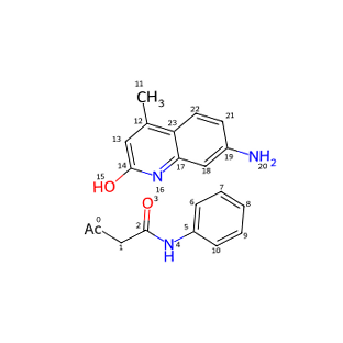 CC(=O)CC(=O)Nc1ccccc1.Cc1cc(O)nc2cc(N)ccc12